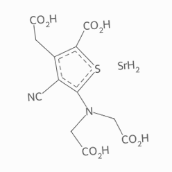 N#Cc1c(N(CC(=O)O)CC(=O)O)sc(C(=O)O)c1CC(=O)O.[SrH2]